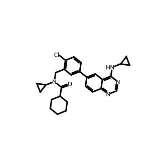 O=C(C1CCCCC1)N(Cc1cc(-c2ccc3ncnc(NC4CC4)c3c2)ccc1Cl)C1CC1